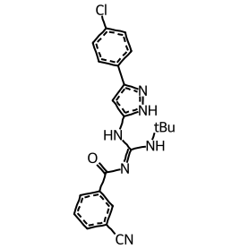 CC(C)(C)N/C(=N/C(=O)c1cccc(C#N)c1)Nc1cc(-c2ccc(Cl)cc2)n[nH]1